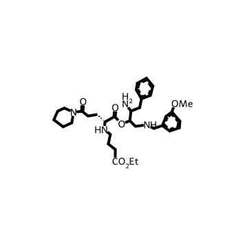 CCOC(=O)CCCN[C@H](CCC(=O)N1CCCCC1)C(=O)OC(CNCc1cccc(OC)c1)C(N)Cc1ccccc1